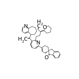 C=C/C(CCC1=NC(C2=CC[C@@]3(CC2)Cc2ccccc2C3=O)=CC=C=C1C(=C)C1CCCCc2ncccc21)=C1/CCCCO1